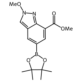 COC(=O)c1cc(B2OC(C)(C)C(C)(C)O2)cc2cn(OC)nc12